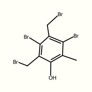 Cc1c(O)c(CBr)c(Br)c(CBr)c1Br